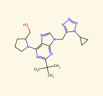 CC(C)(C)c1nc(N2CCCC2CO)c2ncn(Cc3nnnn3C3CC3)c2n1